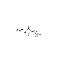 CC(C)OC1CC(C(F)(F)F)C1